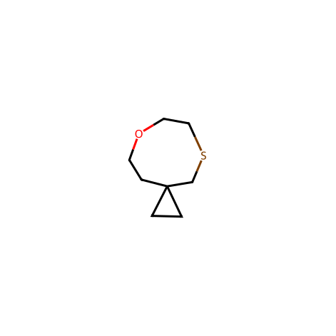 C1CSCC2(CCO1)CC2